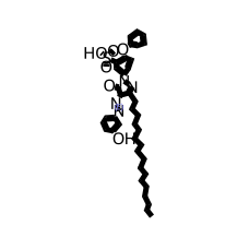 CCCCCCCCCCCCCCCCCC1=NN(c2ccc(Oc3ccccc3)c(S(=O)(=O)O)c2)C(=O)C1/N=N/c1cccc(O)c1